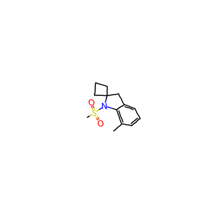 Cc1cccc2c1N(S(C)(=O)=O)C1(CCC1)C2